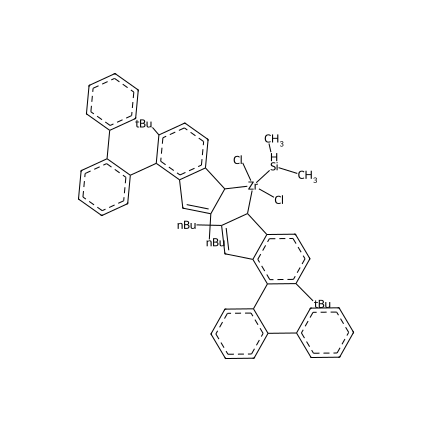 CCCCC1=Cc2c(ccc(C(C)(C)C)c2-c2ccccc2-c2ccccc2)[CH]1[Zr]([Cl])([Cl])([CH]1C(CCCC)=Cc2c1ccc(C(C)(C)C)c2-c1ccccc1-c1ccccc1)[SiH](C)C